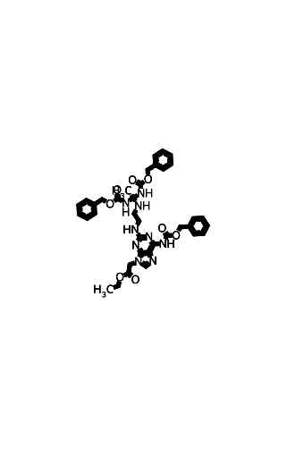 CCOC(=O)Cn1cnc2c(NC(=O)OCc3ccccc3)nc(NCCNC(C)(NC(=O)OCc3ccccc3)NC(=O)OCc3ccccc3)nc21